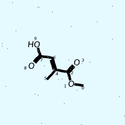 COC(=O)/C(C)=C/C(=O)O